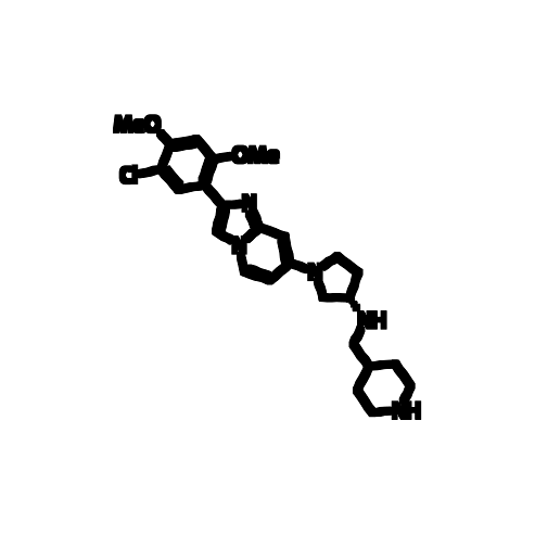 COc1cc(OC)c(-c2cn3ccc(N4CC[C@H](NCC5CCNCC5)C4)cc3n2)cc1Cl